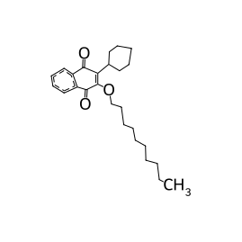 CCCCCCCCCCOC1=C(C2CCCCC2)C(=O)c2ccccc2C1=O